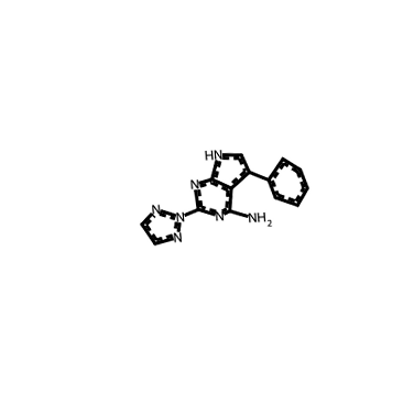 Nc1nc(-n2nccn2)nc2[nH]cc(-c3ccccc3)c12